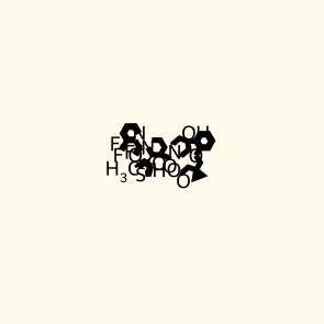 CCC[C@H]1N(C(=O)c2ncccc2C(F)(F)F)CCC[C@@]1(Oc1ccsc1)C(=O)N1CCC(O)(c2ccccc2OCC2(CC(=O)O)CC2)CC1